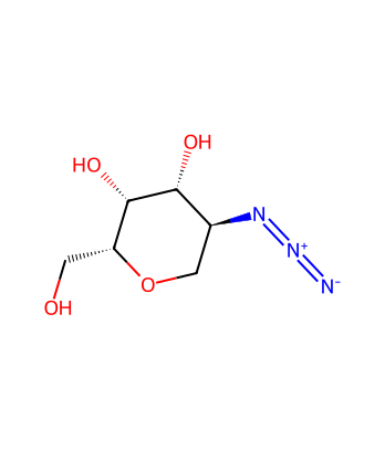 [N-]=[N+]=N[C@H]1CO[C@H](CO)[C@H](O)[C@@H]1O